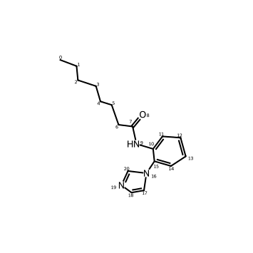 CCCCCCCC(=O)Nc1ccccc1-n1ccnc1